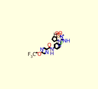 CN1C(=N)N[C@@]2(c3cc(NC(=O)c4cnc(OCC(F)(F)F)cn4)ccc3F)CCC[C@H]2S1(=O)=O